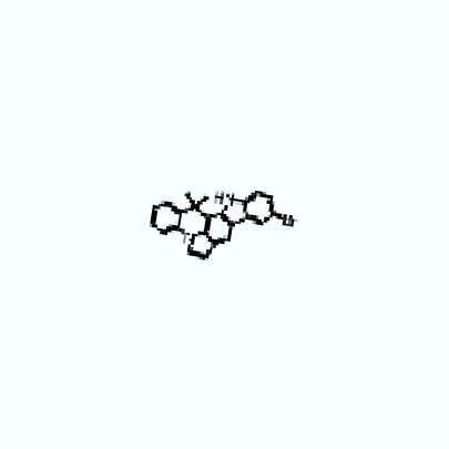 CC1(C)c2ccccc2-n2ccc3cc4c([nH]c5ccc(Br)cc54)c1c32